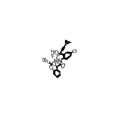 CC(C)(C)C(=O)OC(C(=O)Nc1ccc(Cl)cc1C(O)(C#CC1CC1)C(F)(F)F)c1ccccc1